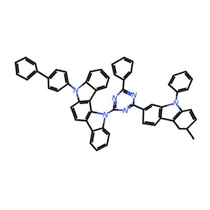 CC1C=Cc2c(c3ccc(-c4nc(-c5ccccc5)nc(-n5c6ccccc6c6ccc7c(c8ccccc8n7-c7ccc(-c8ccccc8)cc7)c65)n4)cc3n2-c2ccccc2)C1